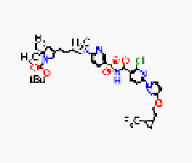 CN(CCCCC1CN(C(=O)OC(C)(C)C)C(C)(C)C1)c1ccc(S(=O)(=O)NC(=O)c2ccc(-n3ccc(OCCC4CC4C(F)(F)F)n3)nc2Cl)cn1